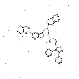 C1=CC2C=CC(c3ccc4sc5c(-c6ccc(-c7nnc(-c8ccccc8)n7-c7ccccc7)cc6)cc(-c6ccc7ccccc7c6)cc5c4c3)=CC2C=C1